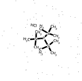 C[Si](C)(C)P([Si](C)(C)C)[Si](C)(C)C.Cl